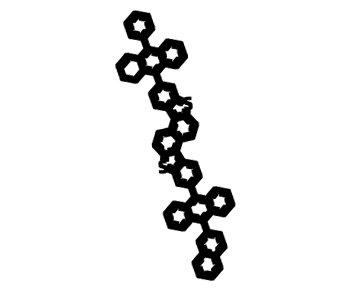 C1=Cc2c(c(-c3ccc4c(c3)sc3ccc5c(ccc6sc7cc(-c8c9ccccc9c(-c9ccc%10ccccc%10c9)c9ccccc89)ccc7c65)c34)c3ccccc3c2-c2ccccc2)CC1